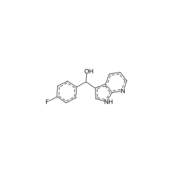 OC(c1ccc(F)cc1)c1c[nH]c2ncccc12